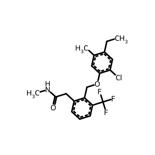 CCc1cc(Cl)c(OCc2c(CC(=O)NC)cccc2C(F)(F)F)cc1C